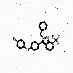 Fc1ccc(Oc2ccc(-c3c4cccc(C(F)(F)F)c4nn3Cc3ccccc3)cc2)cc1